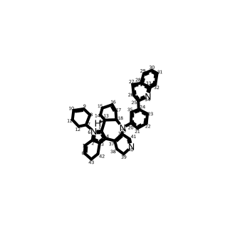 C1=Cc2c(c3c(n2C2CC=CCC2)[C@H]2CCC=CC2N(c2cccc(-c4ccc5ccccc5n4)c2)C2=C3CCN=C2)CC1